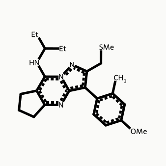 CCC(CC)Nc1c2c(nc3c(-c4ccc(OC)cc4C)c(CSC)nn13)CCC2